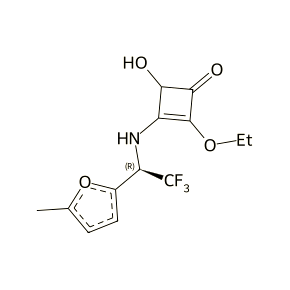 CCOC1=C(N[C@H](c2ccc(C)o2)C(F)(F)F)C(O)C1=O